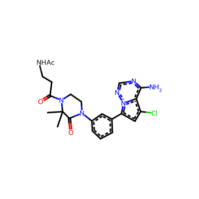 CC(=O)NCCC(=O)N1CCN(c2cccc(-c3cc(Cl)c4c(N)ncnn34)c2)C(=O)C1(C)C